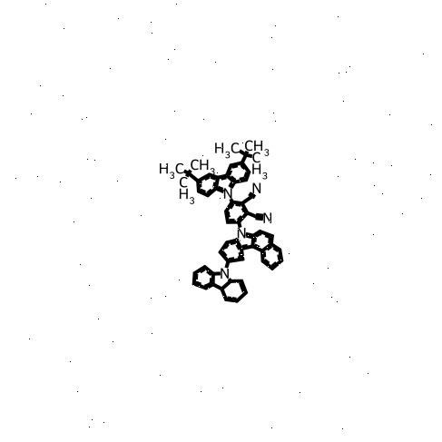 CC(C)(C)c1ccc2c(c1)c1cc(C(C)(C)C)ccc1n2-c1ccc(-n2c3ccc(N4c5ccccc5C5C=CC=CC54)cc3c3c4ccccc4ccc32)c(C#N)c1C#N